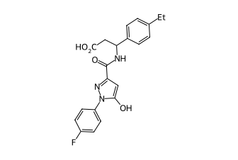 CCc1ccc(C(CC(=O)O)NC(=O)c2cc(O)n(-c3ccc(F)cc3)n2)cc1